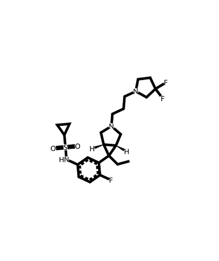 CCC1(c2cc(NS(=O)(=O)C3CC3)ccc2F)[C@@H]2CN(CCCN3CCC(F)(F)C3)C[C@@H]21